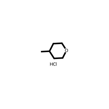 CC1CCOCC1.Cl